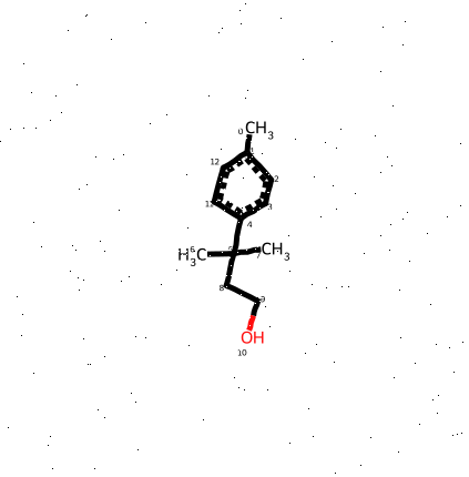 Cc1ccc(C(C)(C)CCO)cc1